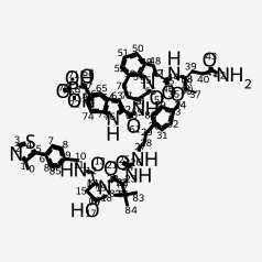 Cc1ncsc1-c1ccc(CNC(=O)[C@@H]2C[C@@H](O)CN2C(=O)[C@@H](NC(=O)NCCCc2ccc(CO[C@H](C)[C@H](CCC(N)=O)NC(=O)[C@@H]3Cc4cccc5c4N3C(=O)[C@@H](NC(=O)c3cc4cc(C(=O)P(=O)(O)O)ccc4[nH]3)CC5)cc2)C(C)(C)C)cc1